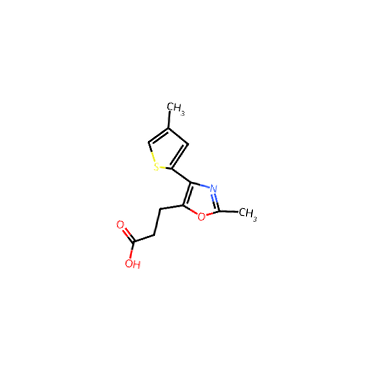 Cc1csc(-c2nc(C)oc2CCC(=O)O)c1